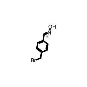 O/N=C/c1ccc(CBr)cc1